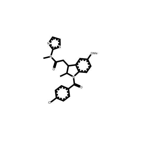 COc1ccc2c(c1)C(CC(=O)N(C)c1nccs1)C(C)N2C(=O)c1ccc(Cl)cc1